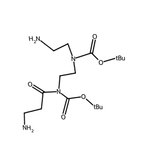 CC(C)(C)OC(=O)N(CCN)CCN(C(=O)CCN)C(=O)OC(C)(C)C